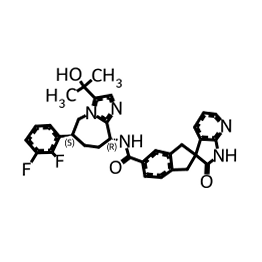 CC(C)(O)c1cnc2n1C[C@H](c1cccc(F)c1F)CC[C@H]2NC(=O)c1ccc2c(c1)CC1(C2)C(=O)Nc2ncccc21